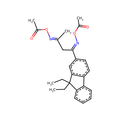 CCC1(CC)c2ccccc2-c2ccc(/C(C/C(C)=N/OC(C)=O)=N/OC(C)=O)cc21